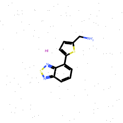 I.NCc1ccc(-c2cccc3nsnc23)s1